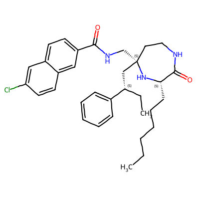 CCCCCC[C@@H]1N[C@@](CNC(=O)c2ccc3cc(Cl)ccc3c2)(C[C@H](CC)c2ccccc2)CCNC1=O